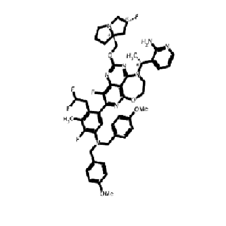 COc1ccc(CN(Cc2ccc(OC)cc2)c2cc(-c3nc4c5c(nc(OC[C@@]67CCCN6C[C@H](F)C7)nc5c3F)N([C@H](C)c3cccnc3N)CCO4)c(CC(F)F)c(C)c2F)cc1